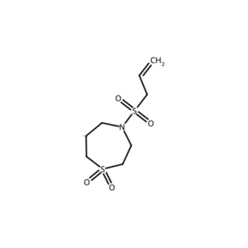 C=CCS(=O)(=O)N1C[CH]CS(=O)(=O)CC1